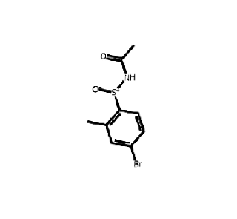 CC(=O)N[S+]([O-])c1ccc(Br)cc1C